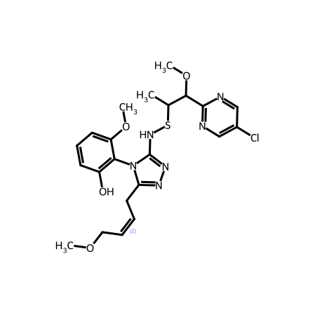 COC/C=C\Cc1nnc(NSC(C)C(OC)c2ncc(Cl)cn2)n1-c1c(O)cccc1OC